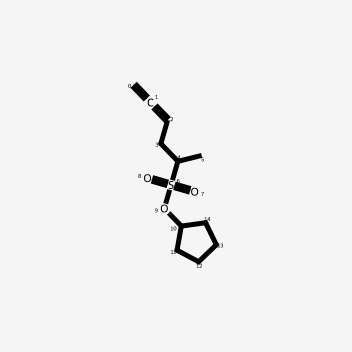 C=C=CCC(C)S(=O)(=O)OC1CCCC1